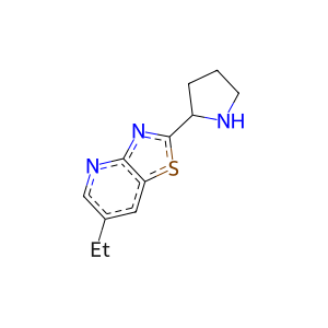 CCc1cnc2nc(C3CCCN3)sc2c1